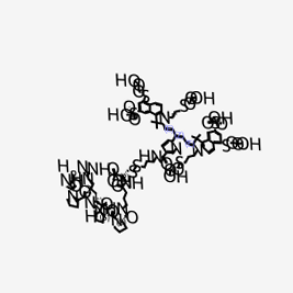 CC1(C)C(/C=C/C(=C/C=C2/N(CCCSOOO)c3ccc4c(SOOO)cc(S(=O)(=O)O)cc4c3C2(C)C)c2ccc(C(=O)NCCCSSC[C@H](NC(=O)CCCNC(=O)[C@@H]3CCCN3C(=O)[C@@H]3CCCN3C(=O)[C@H](CCCNC(=N)N)NC(=O)C3CCCN3C(=O)CN)C(=O)O)cn2)=[N+](CCCSOOO)c2ccc3c(SOOO)cc(S(=O)(=O)O)cc3c21